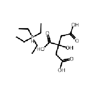 CC[PH](CC)(CC)CC.O=C(O)CC(O)(CC(=O)O)C(=O)O